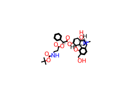 CN1CC[C@]23c4c5ccc(CO)c4O[C@H]2C(OC(=O)[C@H](OC(=O)CCNC(=O)OC(C)(C)C)c2ccccc2)=CC[C@@]3(O)[C@H]1C5